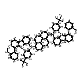 CCc1ccccc1-c1cccc2c1oc1c(N(c3ccc(C(C)(C)C)cc3)c3ccc4ccc5c(N(c6ccc(C(C)(C)C)cc6)c6cccc7c6oc6c(-c8ccccc8CC)cccc67)ccc6ccc3c4c65)cccc12